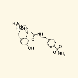 C[C@H]1[C@H]2Cc3ccc(O)cc3[C@]1(CC(=O)NCCc1ccc(S(N)(=O)=O)cc1)CCN2C